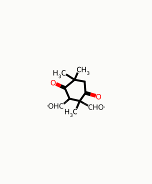 CC1(C)CC(=O)C(C)([C]=O)C([C]=O)C1=O